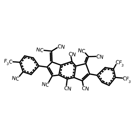 N#CC(C#N)=C1C(c2ccc(C(F)(F)F)c(C#N)c2)=C(C#N)c2c(C#N)c3c(c(C#N)c21)C(=C(C#N)C#N)C(c1ccc(C(F)(F)F)c(C(F)(F)F)c1)=C3C#N